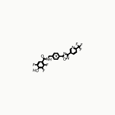 O=C(NCC12CCC(c3nc(-c4ccc(C(F)(F)F)nc4)no3)(CC1)CC2)c1cc(F)c(O)c(F)c1F